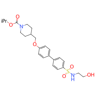 CC(C)OC(=O)N1CCC(COc2ccc(-c3ccc(S(=O)(=O)NCCO)cc3)cc2)CC1